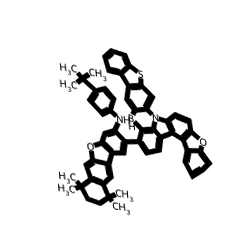 CC(C)(C)c1ccc(Nc2cc3oc4cc5c(cc4c3cc2-c2ccc3c4c6c(ccc4n4c3c2Bc2cc3c(cc2-4)sc2ccccc23)oc2ccccc26)C(C)(C)CCC5(C)C)cc1